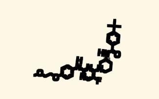 COCCOc1ccc(Nc2ncc(F)c(N3CCC[C@@H](NC(=O)c4ccc(C(C)(C)C)cc4)C3)n2)cc1